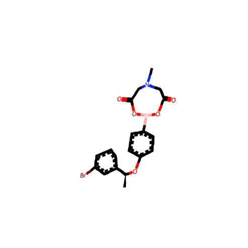 C[C@H](Oc1ccc(B2OC(=O)CN(C)CC(=O)O2)cc1)c1cccc(Br)c1